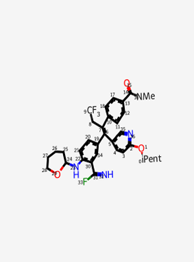 CCC[C@H](C)Oc1ccc(/C(=C(/CC(F)(F)F)c2ccc(C(=O)NC)cc2)c2ccc(NC3CCCCO3)c(C(=N)F)c2)cn1